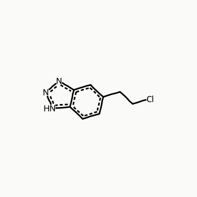 ClCCc1ccc2[nH]nnc2c1